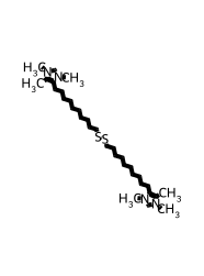 CC1=C(CCCCCCCCCCSSCCCCCCCCCCC2=C(C)N(C)CN2C)N(C)CN1C